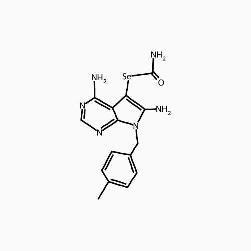 Cc1ccc(Cn2c(N)c([Se]C(N)=O)c3c(N)ncnc32)cc1